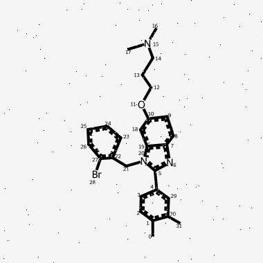 Cc1ccc(-c2nc3ccc(OCCCN(C)C)cc3n2Cc2ccccc2Br)cc1C